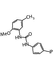 COc1ccc(C)cc1NC(=O)Nc1ccc(C(C)C)cc1